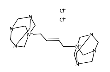 C(=CC[N+]12CN3CN(CN(C3)C1)C2)C[N+]12CN3CN(CN(C3)C1)C2.[Cl-].[Cl-]